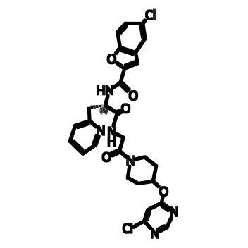 O=C(N[C@@H](Cc1ccccn1)C(=O)NCC(=O)N1CCC(Oc2cc(Cl)ncn2)CC1)c1cc2cc(Cl)ccc2o1